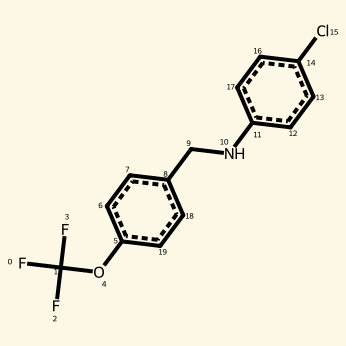 FC(F)(F)Oc1ccc(CNc2ccc(Cl)cc2)cc1